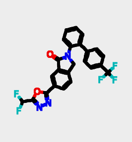 O=C1c2cc(-c3nnc(C(F)F)o3)ccc2CN1c1ccccc1-c1ccc(C(F)(F)F)cc1